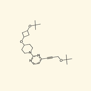 CC(C)(C)OCC#Cc1ccnc(N2CCC(OC3CC(OC(C)(C)C)C3)CC2)n1